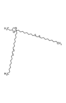 CCCCCCCCCSCSCCCCCCCCC1(CCCCCCCCSCSCCCCCCCCC)OCC(CC)O1